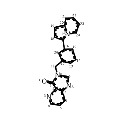 O=c1c2ncccc2ncn1Cc1cccc(-c2ccc3ccccn23)c1